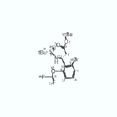 CC(C)(C)OC(=O)C[C@@H](N[S@@+]([O-])C(C)(C)C)c1c(Br)cccc1OC(F)F